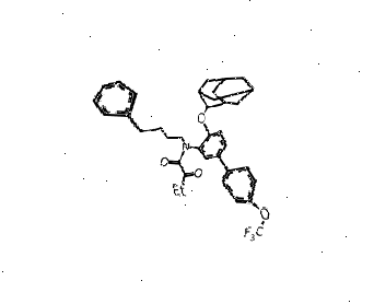 CCC(=O)C(=O)N(CCCCc1ccccc1)c1cc(-c2ccc(OC(F)(F)F)cc2)ccc1OC1C2CC3CC(C2)CC1C3